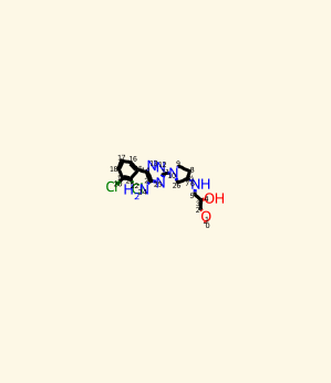 COCC(O)CN[C@@H]1CCN(c2nnc(-c3cccc(Cl)c3Cl)c(N)n2)C1